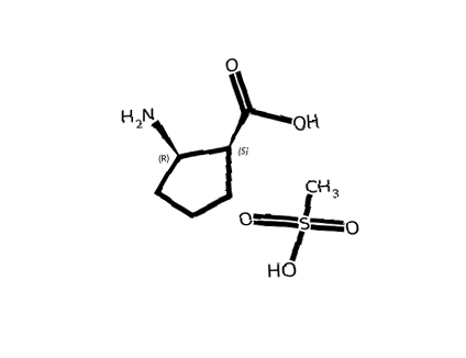 CS(=O)(=O)O.N[C@@H]1CCC[C@@H]1C(=O)O